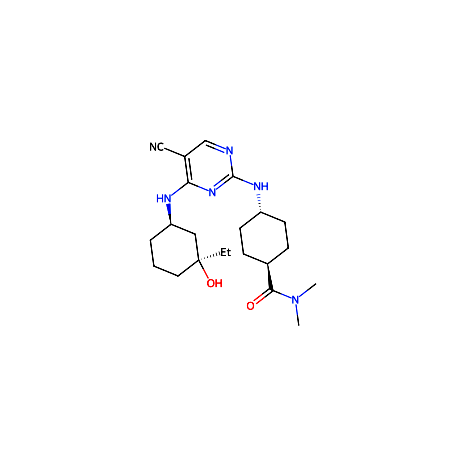 CC[C@]1(O)CCC[C@@H](Nc2nc(N[C@H]3CC[C@H](C(=O)N(C)C)CC3)ncc2C#N)C1